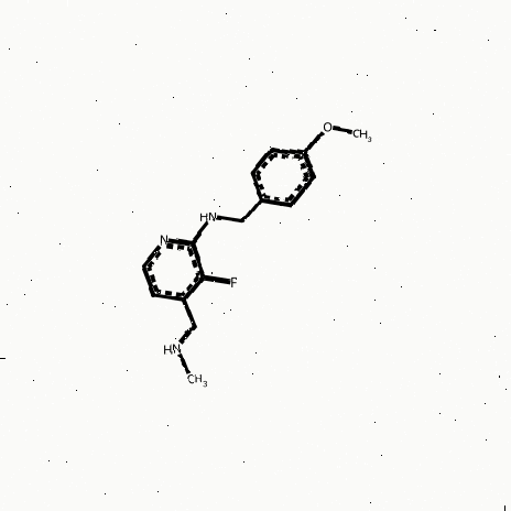 CNCc1ccnc(NCc2ccc(OC)cc2)c1F